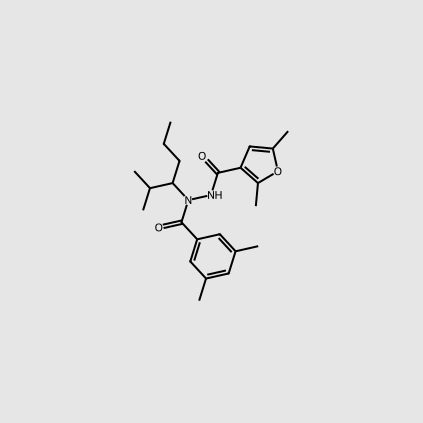 CCCC(C(C)C)N(NC(=O)c1cc(C)oc1C)C(=O)c1cc(C)cc(C)c1